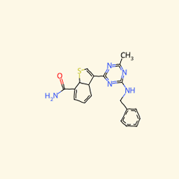 Cc1nc(NCc2ccccc2)nc(C2=CSC3C(C(N)=O)=CC=CC23)n1